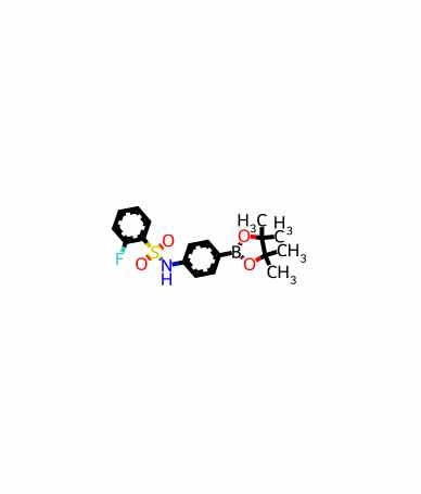 CC1(C)OB(c2ccc(NS(=O)(=O)c3ccccc3F)cc2)OC1(C)C